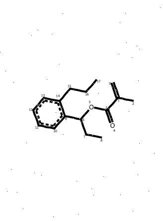 C=C(C)C(=O)OC(CC)c1ccccc1CCC